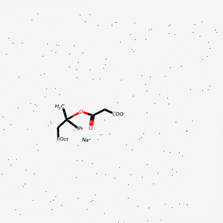 CCCCCCCCCC(C)(OC(=O)CC(=O)[O-])C(C)C.[Na+]